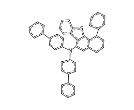 c1ccc(-c2ccc(N(c3ccc(-c4ccccc4)cc3)c3cc4cccc(-c5ccccc5)c4c4sc5ccccc5c34)cc2)cc1